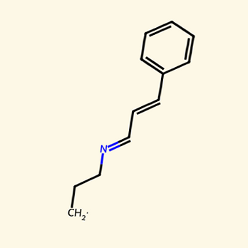 [CH2]CCN=CC=Cc1ccccc1